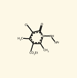 CCCNn1c(C)c(C(=O)OCC)c(C)c(Cl)c1=O